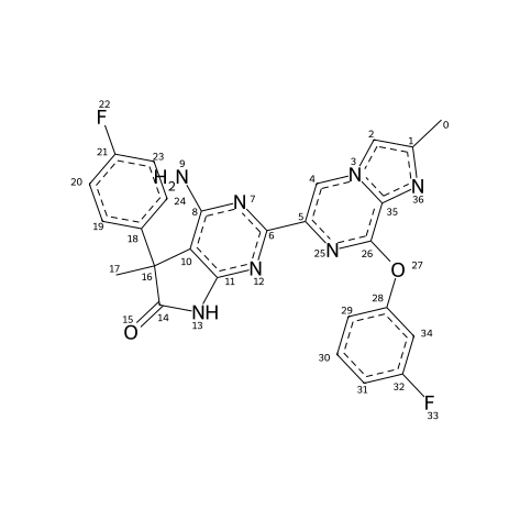 Cc1cn2cc(-c3nc(N)c4c(n3)NC(=O)C4(C)c3ccc(F)cc3)nc(Oc3cccc(F)c3)c2n1